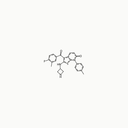 Cc1ccc(-n2c(=O)ccc3c(C(=O)c4ccc(F)c(C)c4)c(NC4CNC4)sc32)cc1